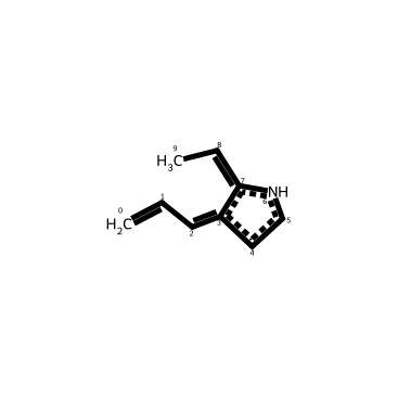 C=C/C=c1/cc[nH]/c1=C/C